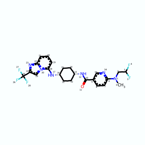 CN(CC(F)F)c1ccc(C(=O)N[C@H]2CC[C@@H](Nc3cccc4nc(C(F)(F)F)cn34)CC2)cn1